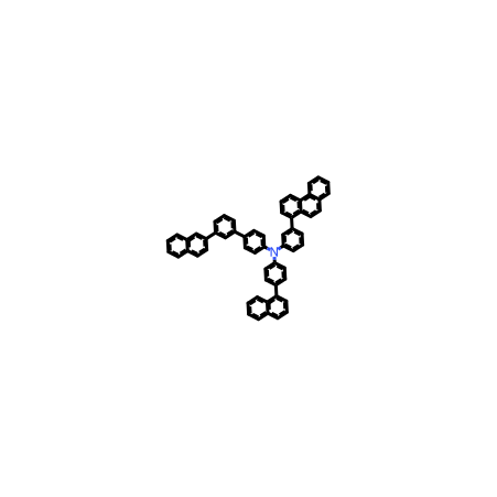 c1cc(-c2ccc(N(c3ccc(-c4cccc5ccccc45)cc3)c3cccc(-c4cccc5c4ccc4ccccc45)c3)cc2)cc(-c2ccc3ccccc3c2)c1